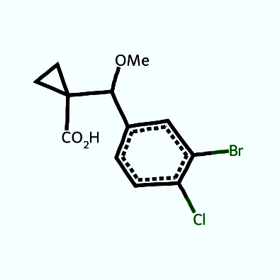 COC(c1ccc(Cl)c(Br)c1)C1(C(=O)O)CC1